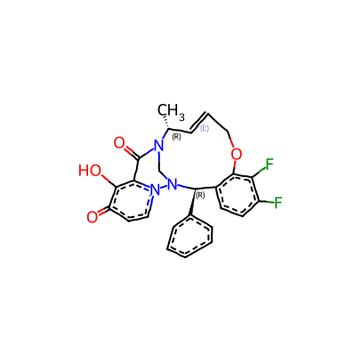 C[C@@H]1/C=C/COc2c(ccc(F)c2F)[C@@H](c2ccccc2)N2CN1C(=O)c1c(O)c(=O)ccn12